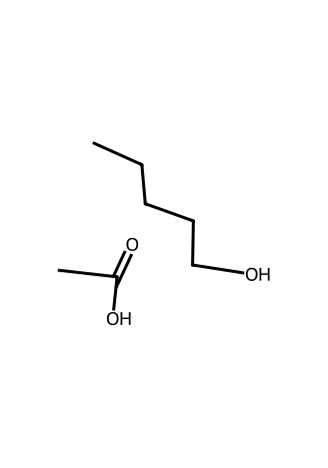 CC(=O)O.CCCCCO